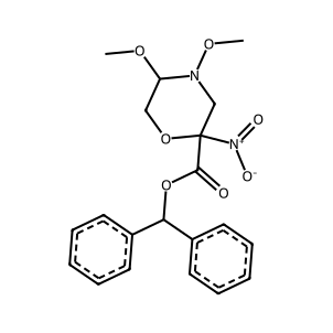 COC1COC(C(=O)OC(c2ccccc2)c2ccccc2)([N+](=O)[O-])CN1OC